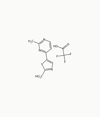 Cc1nccc(-c2cnc(C(=O)O)s2)n1.O=C(O)C(F)(F)F